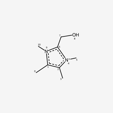 Cc1c(C)[n+](C)c(CO)n1C